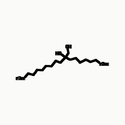 CCCCCCCCCCCCCCCCCCC(O)(CO)CCCCCCCCCCCCCCCC